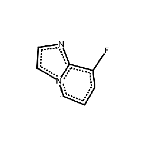 Fc1cc[c]n2ccnc12